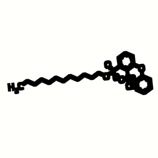 CCCCCCCCCCCCOS(=O)(=O)c1cccc(Oc2ccccc2)c1S(=O)(=O)O